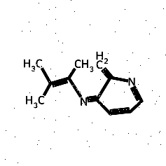 C=C1N=CC=C/C1=N/C(C)=C(C)C